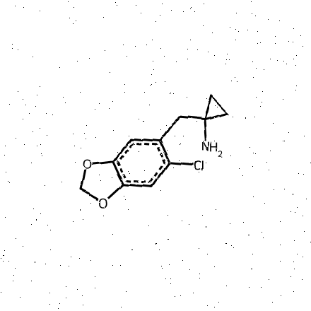 NC1(Cc2cc3c(cc2Cl)OCO3)CC1